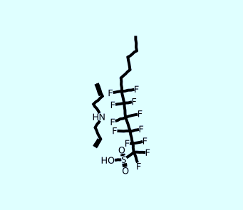 C=CCNCC=C.CCCCCC(F)(F)C(F)(F)C(F)(F)C(F)(F)C(F)(F)C(F)(F)S(=O)(=O)O